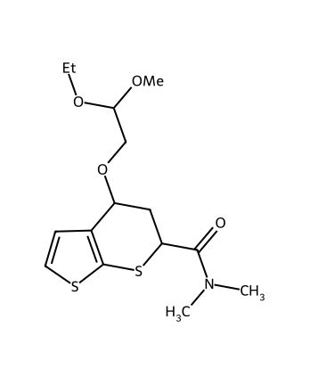 CCOC(COC1CC(C(=O)N(C)C)Sc2sccc21)OC